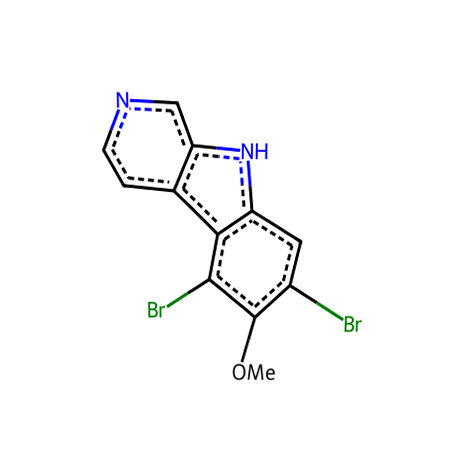 COc1c(Br)cc2[nH]c3cnccc3c2c1Br